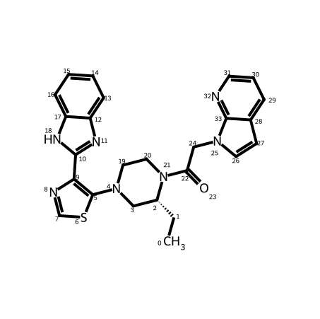 CC[C@@H]1CN(c2scnc2-c2nc3ccccc3[nH]2)CCN1C(=O)Cn1ccc2cccnc21